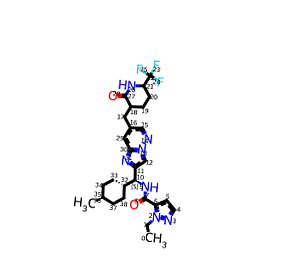 CCn1nccc1C(=O)N[C@H](c1cn2ncc(CC3CCC(C(F)(F)F)NC3=O)cc2n1)[C@H]1CC[C@H](C)CC1